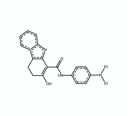 CCN(CC)c1ccc(NC(=O)C2=C(O)CCc3c2nc2ccccn32)cc1